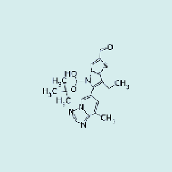 CCc1c(-c2cc(C)c3ncnn3c2)n(C(O)OC(C)(C)C)c2cc(C=O)sc12